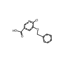 O=C(O)c1cnc(Cl)c(OCc2ccccc2)c1